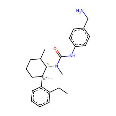 CCc1ccccc1[C@@]1(C)CCCC(C)[C@@H]1N(C)C(=O)Nc1ccc(CN)cc1